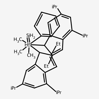 CCC1=Cc2c(C(C)C)cc(C(C)C)cc2[CH]1[Hf]([CH3])([CH3])([CH3])(=[SiH2])([c]1ccccc1)[CH]1C(CC)=Cc2c(C(C)C)cc(C(C)C)cc21